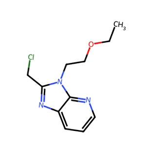 CCOCCn1c(CCl)nc2cccnc21